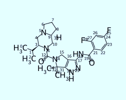 CC(C)[C@H]1CN2CCC[C@H]2CN1C(=O)N1Cc2c(NC(=O)c3ccc(F)cc3F)n[nH]c2C1(C)C